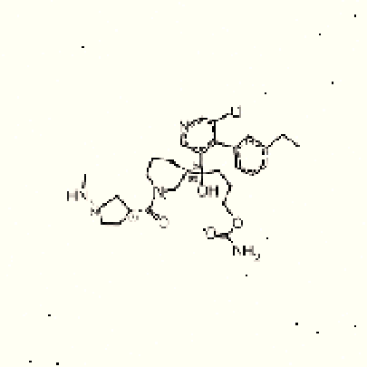 CCc1cccc(-c2c(Cl)cncc2[C@](O)(CCCOC(N)=O)[C@@H]2CCCN(C(=O)[C@@H]3CC[C@H](NC)C3)C2)c1